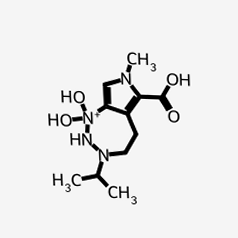 CC(C)N1CCc2c(cn(C)c2C(=O)O)[N+](O)(O)N1